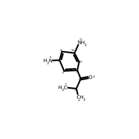 CC(C)C(=O)c1cc(N)cc(N)c1